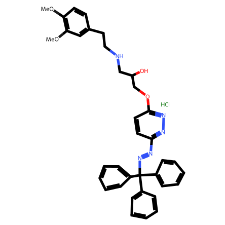 COc1ccc(CCNCC(O)COc2ccc(N=NC(c3ccccc3)(c3ccccc3)c3ccccc3)nn2)cc1OC.Cl